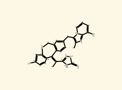 CC(=C1c2ccc(Cc3c(C)nc4c(Cl)cccn34)cc2COc2cc(F)ccc21)c1noc(=O)[nH]1